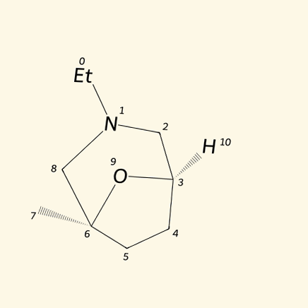 CCN1C[C@H]2CC[C@@](C)(C1)O2